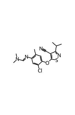 Cc1cc(Oc2snc(C(C)C)c2C#N)c(Cl)cc1N=CN(C)C